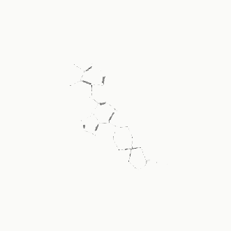 C[C@H]1CC2(CCN(c3ncc(Sc4ccnc(N)c4Cl)n4ncnc34)CC2)CO1